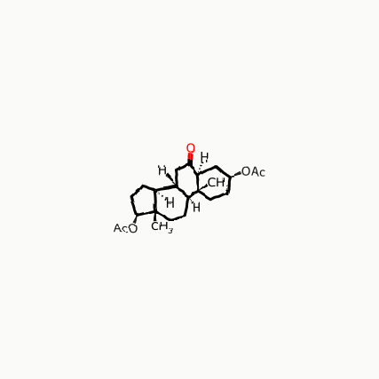 CC(=O)O[C@H]1CC[C@@]2(C)[C@H](C1)C(=O)C[C@@H]1[C@@H]2CC[C@]2(C)[C@@H](OC(C)=O)CC[C@@H]12